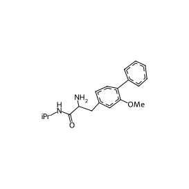 COc1cc(CC(N)C(=O)NC(C)C)ccc1-c1ccccc1